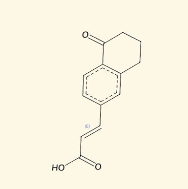 O=C(O)/C=C/c1ccc2c(c1)CCCC2=O